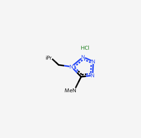 CNc1nnnn1CC(C)C.Cl